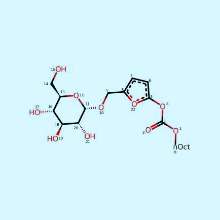 CCCCCCCCOC(=O)Oc1ccc(CO[C@H]2O[C@H](CO)[C@@H](O)[C@H](O)[C@H]2O)o1